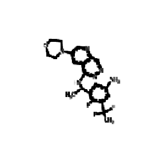 C[C@@H](Nc1nncc2ncc(N3CCOCC3)cc12)c1cc(N)cc(C(C)(F)F)c1F